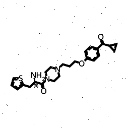 N[C@H](Cc1cccs1)C(=O)N1CCN(CCCOc2ccc(C(=O)C3CC3)cc2)CC1